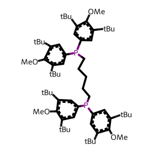 COc1c(C(C)(C)C)cc(P(CCCCCP(c2cc(C(C)(C)C)c(OC)c(C(C)(C)C)c2)c2cc(C(C)(C)C)c(OC)c(C(C)(C)C)c2)c2cc(C(C)(C)C)c(OC)c(C(C)(C)C)c2)cc1C(C)(C)C